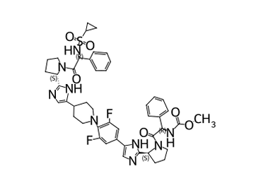 COC(=O)N[C@@H](C(=O)N1CCC[C@H]1c1ncc(-c2cc(F)c(N3CCC(c4cnc([C@@H]5CCCN5C(=O)[C@H](NS(=O)(=O)C5CC5)c5ccccc5)[nH]4)CC3)c(F)c2)[nH]1)c1ccccc1